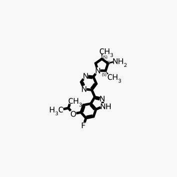 CC(C)Oc1cc2c(-c3cc(N4C[C@H](C)[C@@H](N)[C@@H]4C)ncn3)n[nH]c2cc1F